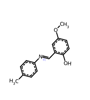 COc1ccc(O)c(/C=N/c2ccc(C)cc2)c1